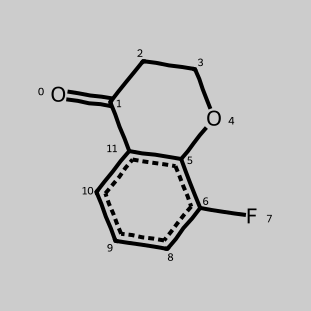 O=C1CCOc2c(F)cccc21